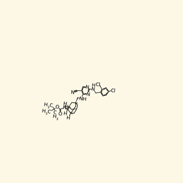 CC(C)(C)OC(=O)N[C@@H]1[C@@H]2CC3C[C@H]1C[C@@](CNc1nc(NCc4ccc(Cl)cc4Cl)ncc1C#N)(C3)C2